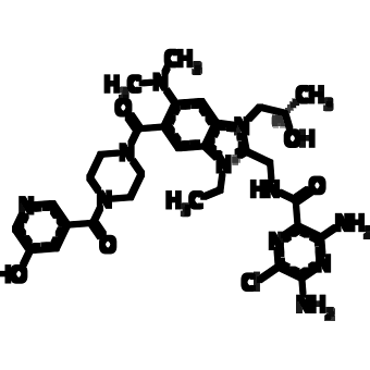 CC[n+]1c(CNC(=O)c2nc(Cl)c(N)nc2N)n(C[C@H](C)O)c2cc(N(C)C)c(C(=O)N3CCN(C(=O)c4cncc(O)c4)CC3)cc21